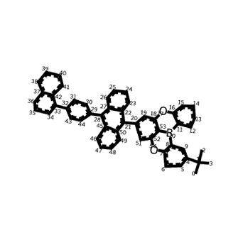 CC(C)(C)c1ccc2c(c1)B1c3ccccc3Oc3cc(-c4c5ccccc5c(-c5ccc(-c6cccc7ccccc67)cc5)c5ccccc45)cc(c31)O2